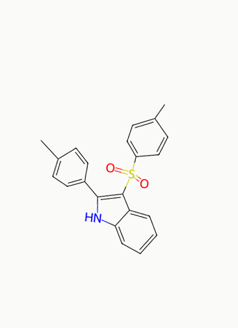 Cc1ccc(-c2[nH]c3ccccc3c2S(=O)(=O)c2ccc(C)cc2)cc1